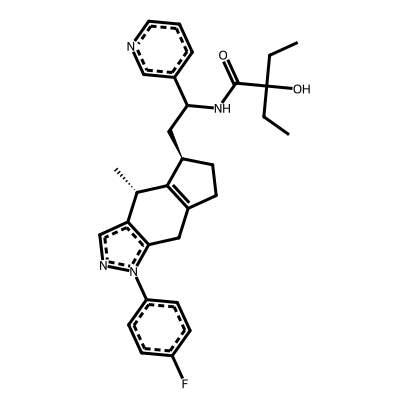 CCC(O)(CC)C(=O)NC(C[C@H]1CCC2=C1[C@@H](C)c1cnn(-c3ccc(F)cc3)c1C2)c1cccnc1